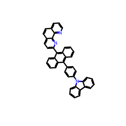 c1cnc2c(c1)ccc1ccc(-c3c4ccccc4c(-c4ccc(-n5c6ccccc6c6ccccc65)cc4)c4ccccc34)nc12